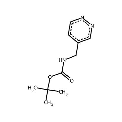 CC(C)(C)OC(=O)NCc1ccnnc1